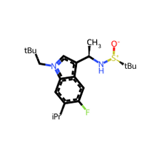 CC(C)c1cc2c(cc1F)c([C@@H](C)N[S@@+]([O-])C(C)(C)C)cn2CC(C)(C)C